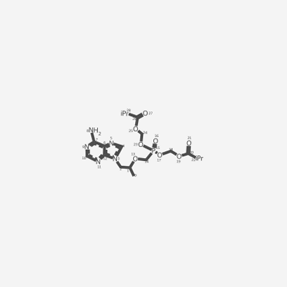 CC(Cn1cnc2c(N)ncnc21)OCP(=O)(OCOC(=O)C(C)C)OCOC(=O)C(C)C